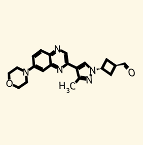 Cc1nn([C@H]2C[C@H](C=O)C2)cc1-c1cnc2ccc(N3CCOCC3)cc2n1